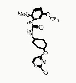 COc1ccc(OC(F)(F)F)cc1NC(=O)NC1CCC(Oc2ccnc(Cl)n2)CC1